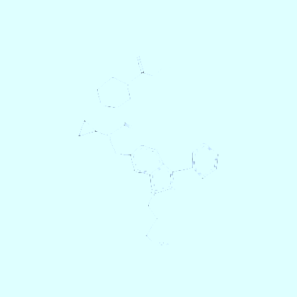 COCCCn1nc(-c2ccccc2)c2ccc(CN(C(=O)[C@H]3CN(C(=O)OC(C)(C)C)CCO3)C3CC3)cc21